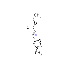 CCOC(=O)/C=C/c1cn(C)nn1